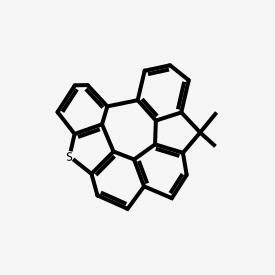 CC1(C)c2cccc3c2-c2c1ccc1ccc4sc5cccc-3c5c4c21